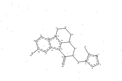 Cc1nccn1CC1CC2CCCn3c2c(c2cc(F)ccc23)C1=O